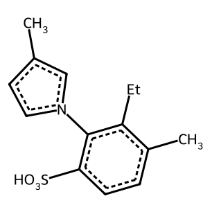 CCc1c(C)ccc(S(=O)(=O)O)c1-n1ccc(C)c1